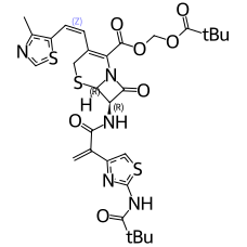 C=C(C(=O)N[C@@H]1C(=O)N2C(C(=O)OCOC(=O)C(C)(C)C)=C(/C=C\c3scnc3C)CS[C@H]12)c1csc(NC(=O)C(C)(C)C)n1